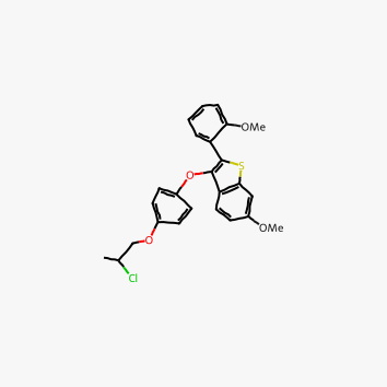 COc1ccc2c(Oc3ccc(OCC(C)Cl)cc3)c(-c3ccccc3OC)sc2c1